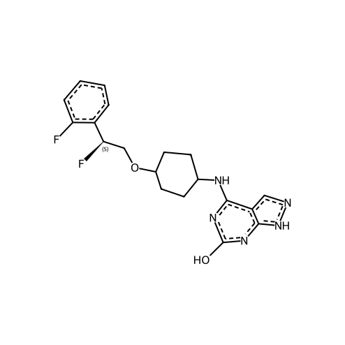 Oc1nc(NC2CCC(OC[C@@H](F)c3ccccc3F)CC2)c2cn[nH]c2n1